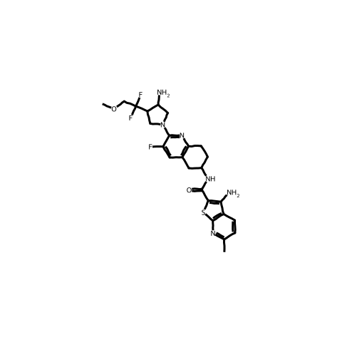 COCC(F)(F)C1CN(c2nc3c(cc2F)CC(NC(=O)c2sc4nc(C)ccc4c2N)CC3)CC1N